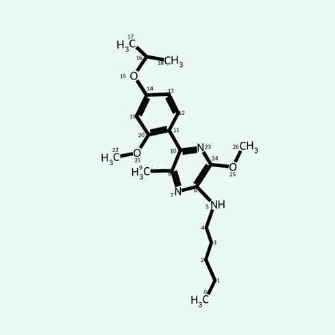 CCCCCNc1nc(C)c(-c2ccc(OC(C)C)cc2OC)nc1OC